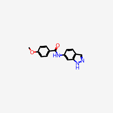 COc1ccc(C(=O)Nc2ccc3cn[nH]c3c2)cc1